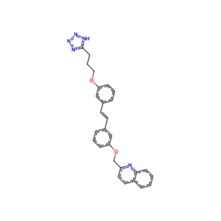 C(=C\c1cccc(OCc2ccc3ccccc3n2)c1)/c1cccc(OCCCc2nnn[nH]2)c1